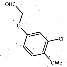 COc1ccc(OC[C]=O)cc1Cl